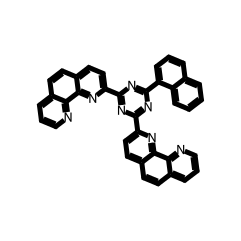 c1ccc2c(-c3nc(-c4ccc5ccc6cccnc6c5n4)nc(-c4ccc5ccc6cccnc6c5n4)n3)cccc2c1